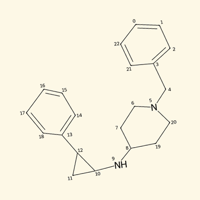 c1ccc(CN2CCC(NC3CC3c3ccccc3)CC2)cc1